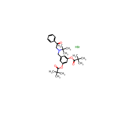 Br.CC(C)(C)C(=O)Oc1cc(CN(CC(=O)c2ccccc2)C(C)(C)C)cc(OC(=O)C(C)(C)C)c1